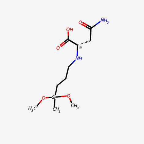 CO[Si](C)(CCCN[C@@H](CC(N)=O)C(=O)O)OC